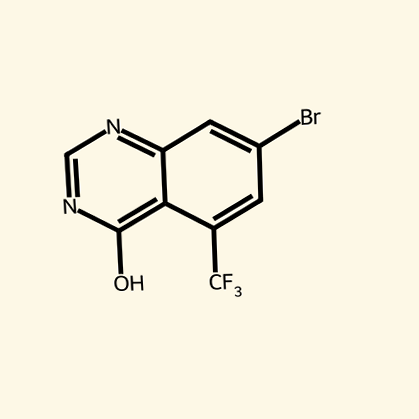 Oc1ncnc2cc(Br)cc(C(F)(F)F)c12